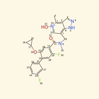 Cc1c2cn[nH]c2c(CN(C)C(=O)c2cc(OC3CC3)c(-c3cccc(F)c3)cc2F)c[n+]1O